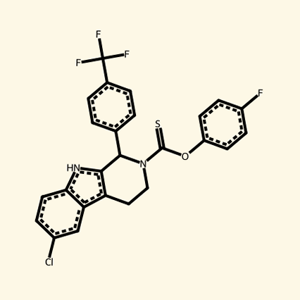 Fc1ccc(OC(=S)N2CCc3c([nH]c4ccc(Cl)cc34)C2c2ccc(C(F)(F)F)cc2)cc1